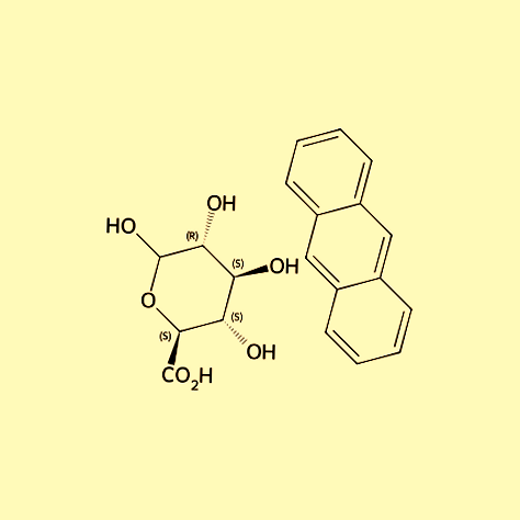 O=C(O)[C@H]1OC(O)[C@H](O)[C@@H](O)[C@@H]1O.c1ccc2cc3ccccc3cc2c1